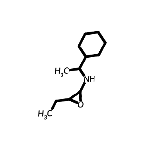 CCC1OC1NC(C)C1CCCCC1